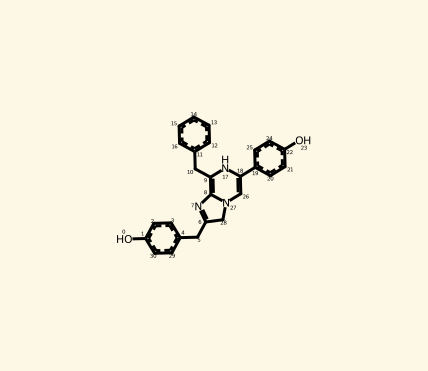 Oc1ccc(CC2=NC3=C(Cc4ccccc4)NC(c4ccc(O)cc4)=CN3C2)cc1